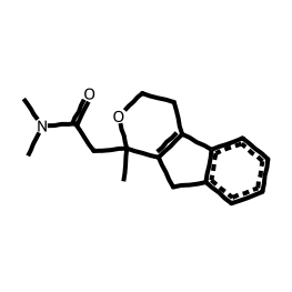 CN(C)C(=O)CC1(C)OCCC2=C1Cc1ccccc12